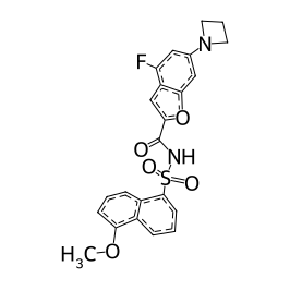 COc1cccc2c(S(=O)(=O)NC(=O)c3cc4c(F)cc(N5CCC5)cc4o3)cccc12